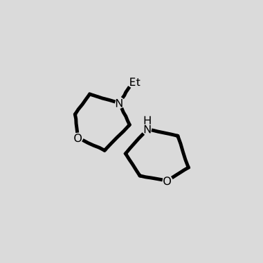 C1COCCN1.CCN1CCOCC1